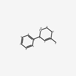 CC1=CC(c2ccccc2)OCC1